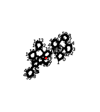 c1ccc(N(c2ccc3c(c2)-c2ccccc2-c2ccccc2C32c3ccccc3-c3c2ccc2c3sc3ccccc32)c2cccc3c2Oc2ccccc2-c2ccccc2-3)cc1